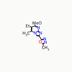 CCc1c(OC)nc2nc(-c3nnc(C)o3)cn2c1C